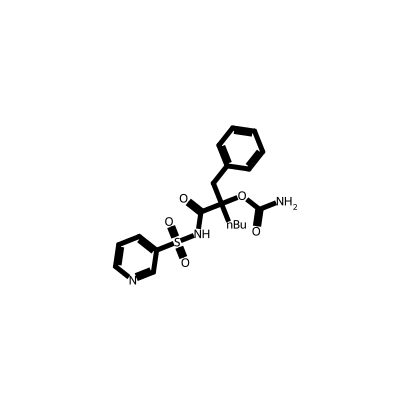 CCCCC(Cc1ccccc1)(OC(N)=O)C(=O)NS(=O)(=O)c1cccnc1